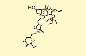 C=CC[C@@H]1O[C@@H]2CC(O[C@@]3(CCC4CC(=C)[C@H](CCC5CC(C)C(=C)C(CC)O5)O4)CC(O)C2O3)C1O[Si](CC)(CC)CC